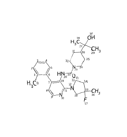 Cc1ccccc1-c1ccnc(N2CCC(C)(F)C2)c1NC(=O)N1CCC(C(C)(C)O)CC1